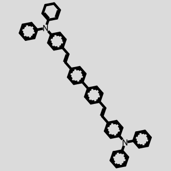 C1=CC(N(c2ccccc2)c2ccc(/C=C/c3ccc(-c4ccc(/C=C/c5ccc(N(c6ccccc6)c6ccccc6)cc5)cc4)cc3)cc2)=CCC1